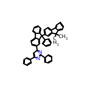 CC1(C)c2ccccc2-c2ccc(C3(c4ccccc4)c4ccccc4-c4ccc(-c5cc(-c6ccccc6)nc(-c6ccccc6)n5)cc43)cc21